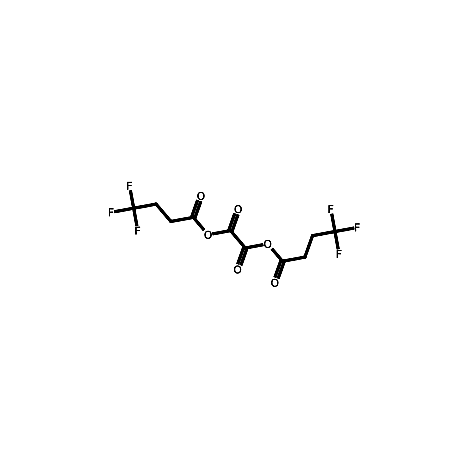 O=C(CCC(F)(F)F)OC(=O)C(=O)OC(=O)CCC(F)(F)F